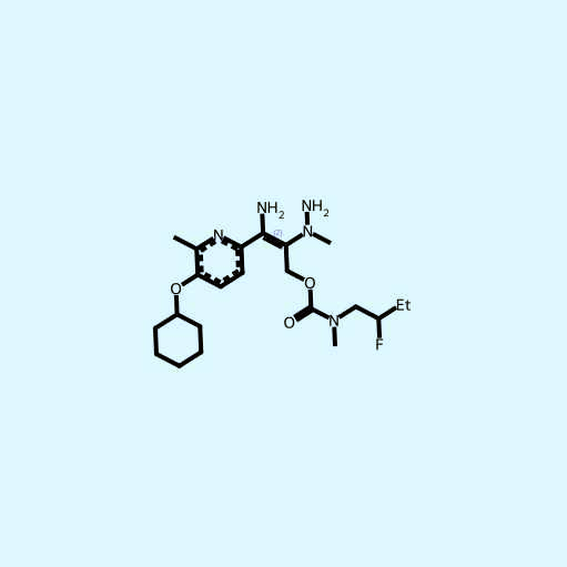 CCC(F)CN(C)C(=O)OC/C(=C(/N)c1ccc(OC2CCCCC2)c(C)n1)N(C)N